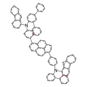 c1ccc(-c2ccc(N(c3ccc(-c4ccc5ccc6c(-c7ccc(N(c8ccccc8-c8ccccc8)c8cccc9c8sc8ccccc89)cc7)ccc7ccc4c5c76)cc3)c3cccc4c3sc3ccccc34)c(-c3ccccc3)c2)cc1